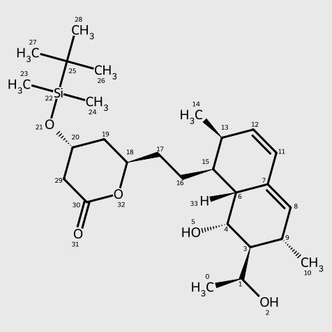 C[C@H](O)[C@H]1[C@H](O)[C@H]2C(=C[C@@H]1C)C=C[C@H](C)[C@@H]2CC[C@@H]1C[C@@H](O[Si](C)(C)C(C)(C)C)CC(=O)O1